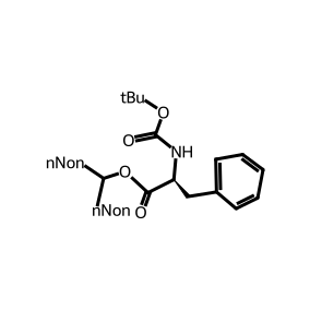 CCCCCCCCCC(CCCCCCCCC)OC(=O)[C@H](Cc1ccccc1)NC(=O)OC(C)(C)C